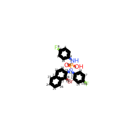 O=P(O)(Nc1ccc(F)cc1)N(c1ccc(F)cc1)c1ccc2ccccc2c1Br